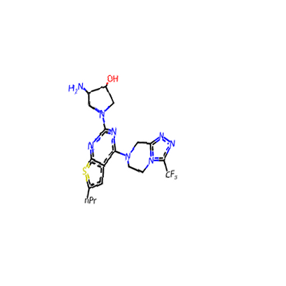 CCCc1cc2c(N3CCn4c(nnc4C(F)(F)F)C3)nc(N3CC(N)C(O)C3)nc2s1